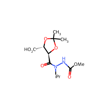 COC(=O)NN(C(=O)[C@@H]1OC(C)(C)O[C@H]1C(=O)O)C(C)C